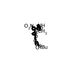 Cn1cc(-c2cc([N+](=O)[O-])ccc2Oc2cccc(OCCOC3CCN(C(=O)OC(C)(C)C)CC3)c2F)c2cc[nH]c2c1=O